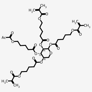 C=C(C)C(=O)OCCCCC(=O)OC1OC[C@@H](OC(=O)CCCCOC(=O)C(=C)C)[C@H](OC(=O)CCCCOC(=O)C(C)=O)[C@H]1OC(=O)CCCCOC(=O)C(=C)C